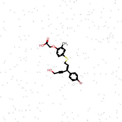 Cc1cc(SCC=C(C#CCO)c2ccc(Br)cc2)ccc1OCC(=O)O